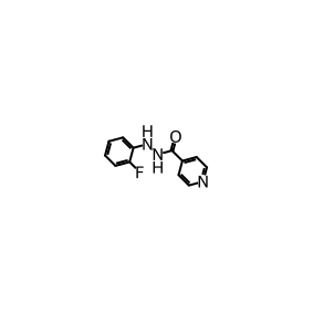 O=C(NNc1ccccc1F)c1ccncc1